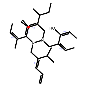 C=C/C=C(/CN(C(=C/C)/C(C)=C\C)N(CC(=C/C)/C(O)=C\C)C/C(=C/C)C(C)CC)C(C)C